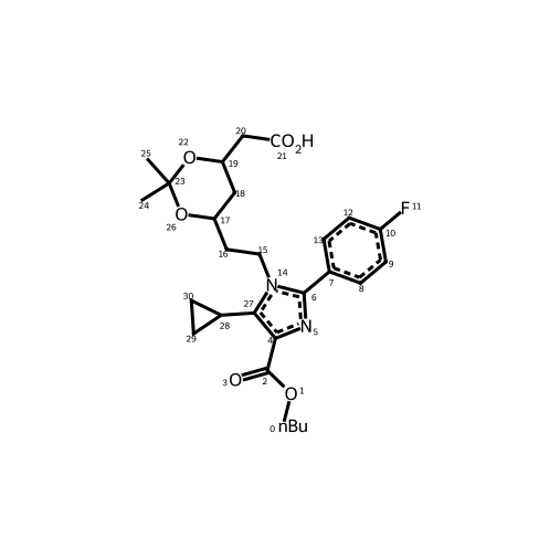 CCCCOC(=O)c1nc(-c2ccc(F)cc2)n(CCC2CC(CC(=O)O)OC(C)(C)O2)c1C1CC1